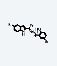 CC/C(=N\NC(=O)c1cc(Br)ccc1O)c1cc2cc(Br)ccc2[nH]1